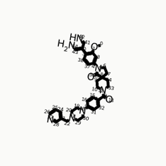 COc1cc(N2CCC3(CCN(C(=O)c4ccc(N5CCN(Cc6cccnc6)CC5)cc4)CC3)C2=O)ccc1/C(C=N)=C/N